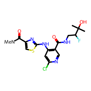 CNC(=O)c1csc(Nc2cc(Cl)ncc2C(=O)NCC(F)C(C)(C)O)n1